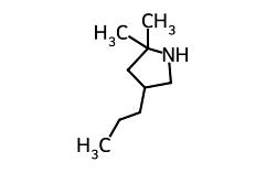 CCCC1CNC(C)(C)C1